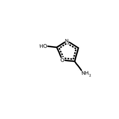 Nc1cnc(O)o1